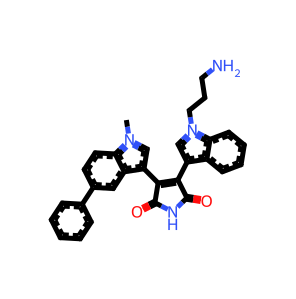 Cn1cc(C2=C(c3cn(CCCN)c4ccccc34)C(=O)NC2=O)c2cc(-c3ccccc3)ccc21